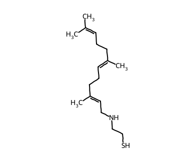 CC(C)=CCCC(C)=CCCC(C)=CCNCCS